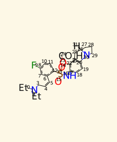 CCN(CC)C/C=C\c1cc(F)ccc1S(=O)(=O)Nc1ccc2c(c1OC(=O)O)C[C@H]1CCCN21